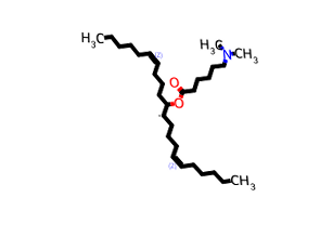 CCCCC/C=C\CCC[CH]C(CCC/C=C\CCCCC)OC(=O)CCCCCN(C)C